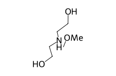 COC.OCCNCCO